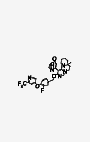 CC12CCCCN1C1=C(c3cc(=O)cc[nH]3)C(OCc3ccc(Oc4ccnc(C(F)(F)F)c4)c(F)c3)=NCN1CC2